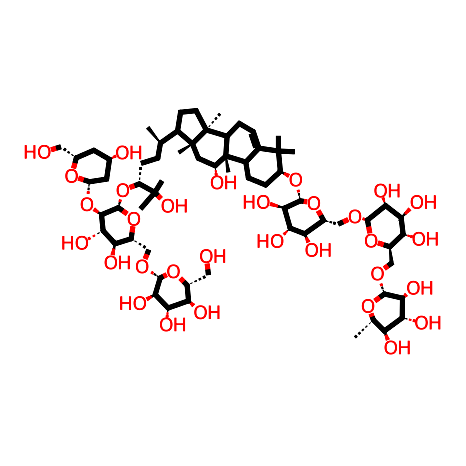 C[C@H](CC[C@@H](O[C@@H]1O[C@H](CO[C@@H]2O[C@H](CO)[C@@H](O)[C@H](O)[C@H]2O)[C@@H](O)[C@H](O)[C@H]1O[C@H]1C[C@@H](O)C[C@@H](CO)O1)C(C)(C)O)C1CC[C@@]2(C)C3CC=C4C(CC[C@H](O[C@@H]5O[C@H](CO[C@H]6O[C@H](CO[C@H]7O[C@@H](C)[C@H](O)[C@@H](O)[C@@H]7O)[C@@H](O)[C@H](O)[C@H]6O)[C@@H](O)[C@H](O)[C@H]5O)C4(C)C)[C@]3(C)[C@H](O)C[C@]12C